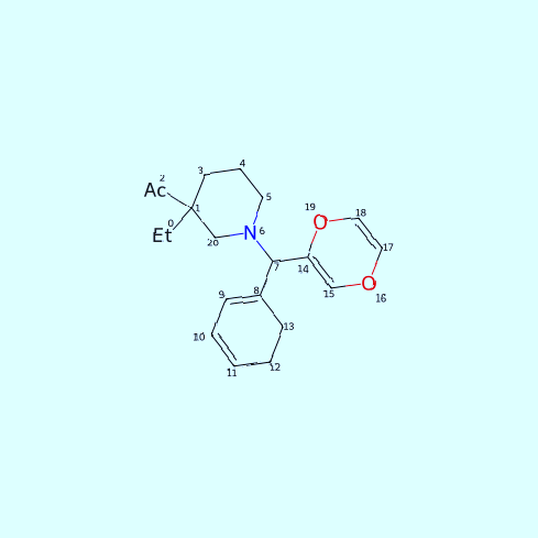 CCC1(C(C)=O)CCCN(C(C2=CC=CCC2)C2=COC=CO2)C1